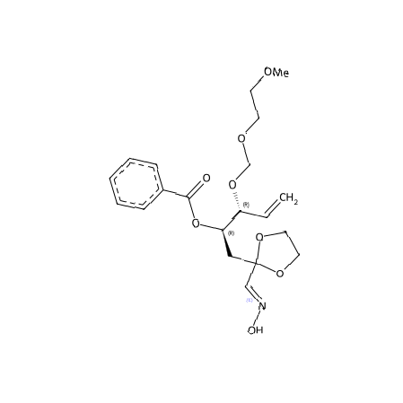 C=C[C@@H](OCOCCOC)[C@@H](CC1(/C=N/O)OCCO1)OC(=O)c1ccccc1